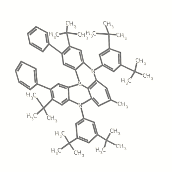 Cc1cc2c3c(c1)N(c1cc(C(C)(C)C)cc(C(C)(C)C)c1)c1cc(C(C)(C)C)c(-c4ccccc4)cc1B3c1cc(-c3ccccc3)c(C(C)(C)C)cc1N2c1cc(C(C)(C)C)cc(C(C)(C)C)c1